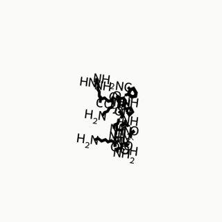 C[C@H](NC(=O)[C@@H](NC(=O)[C@@H](N)CCCCN)[C@@H](O)CN)C(=O)NCC(=O)N[C@H](CCCN)C(=O)N1CCC[C@H]1C(=O)N[C@@H](Cc1ccccc1C#N)C(=O)N[C@@H](CCCCN)C(=O)CC/C(=C\CCNC(=N)N)C(=O)O